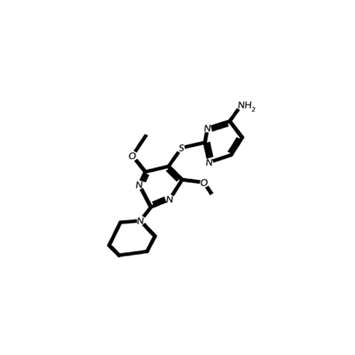 COc1nc(N2CCCCC2)nc(OC)c1Sc1nccc(N)n1